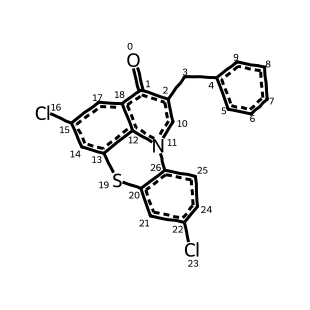 O=c1c(Cc2ccccc2)cn2c3c(cc(Cl)cc13)Sc1cc(Cl)ccc1-2